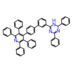 c1ccc(C2=NC(c3ccccc3)NC(c3cccc(-c4ccc(-c5c(-c6ccccc6)c(-c6ccccc6)nc(-c6ccccc6)c5-c5ccccc5)cc4)c3)=N2)cc1